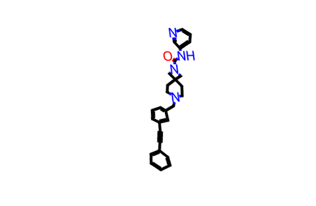 O=C(Nc1cccnc1)N1CC2(CCN(Cc3cccc(C#Cc4ccccc4)c3)CC2)C1